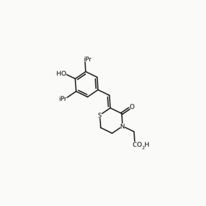 CC(C)c1cc(C=C2SCCN(CC(=O)O)C2=O)cc(C(C)C)c1O